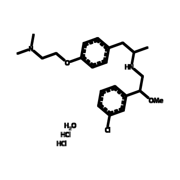 COC(CNC(C)Cc1ccc(OCCN(C)C)cc1)c1cccc(Cl)c1.Cl.Cl.O